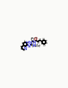 CS/C(=N/c1cccc2cccnc12)NC(NC(=O)/C=C/c1ccccc1)C(Cl)(Cl)Cl